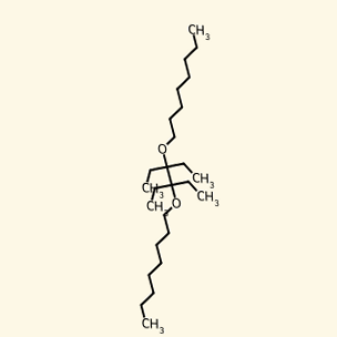 CCCCCCCCOC(CC)(CC)C(CC)(CC)OCCCCCCCC